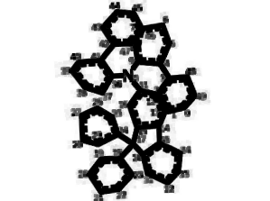 c1ccc(-c2ccccc2N(c2ccc3c(c2)C(c2ccccc2)(c2ccccc2)c2ccccc2-3)c2ccccc2-c2ccccc2)cc1